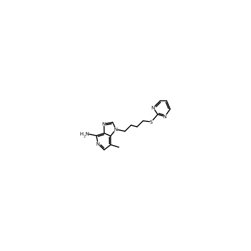 Cc1cnc(N)c2ncn(CCCCSc3ncccn3)c12